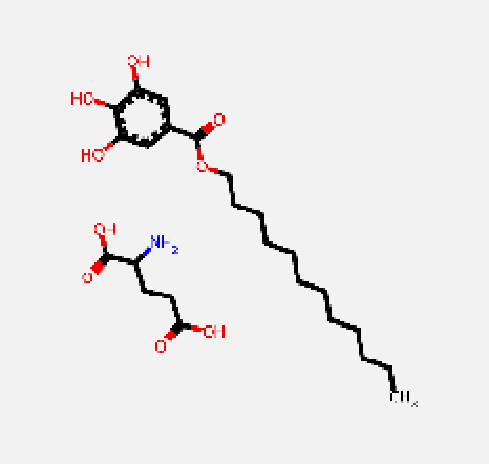 CCCCCCCCCCCCOC(=O)c1cc(O)c(O)c(O)c1.NC(CCC(=O)O)C(=O)O